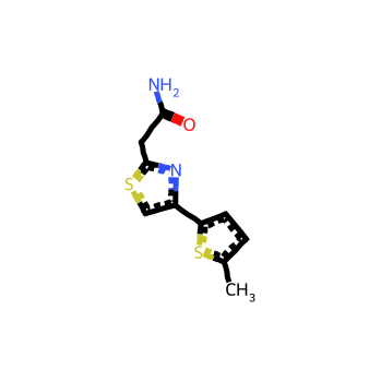 Cc1ccc(-c2csc(CC(N)=O)n2)s1